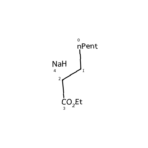 CCCCCCCC(=O)OCC.[NaH]